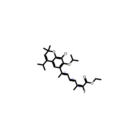 CCOC(=O)\C(F)=C(C)/C=C/C=C(\C)c1cc2c(c(Cl)c1OC(C)C)OC(C)(C)C=C2C(C)C